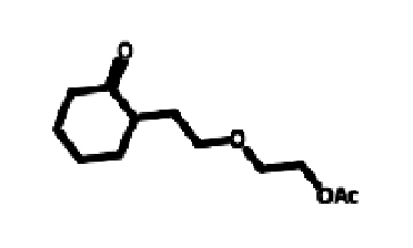 CC(=O)OCCOCCC1CCCCC1=O